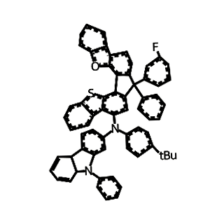 CC(C)(C)c1ccc(N(c2ccc3c(c2)N(c2ccccc2)C2C=CC=CC32)c2cc3c(c4sc5ccccc5c24)-c2c(ccc4c2oc2ccccc24)C3(c2ccccc2)c2cccc(F)c2)cc1